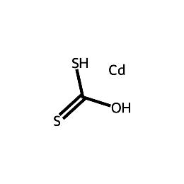 OC(=S)S.[Cd]